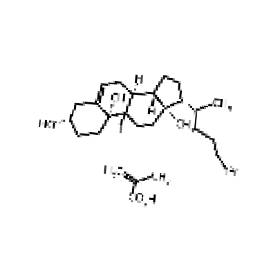 C=C(C)C(=O)O.CC(C)CCCC(C)[C@H]1CC[C@H]2[C@@H]3CC=C4C[C@@H](O)CC[C@]4(C)[C@H]3CC[C@]12C